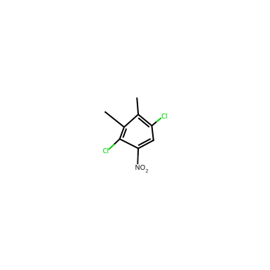 Cc1c(Cl)cc([N+](=O)[O-])c(Cl)c1C